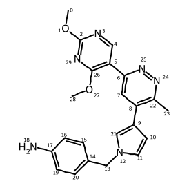 COc1ncc(-c2cc(-c3ccn(Cc4ccc(N)cc4)c3)c(C)nn2)c(OC)n1